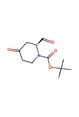 CC(C)(C)OC(=O)N1CCC(=O)C[C@H]1C=O